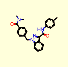 Cc1ccc(NC(=O)c2nn(Cc3ccc(C(=O)N(C)C)cc3)c3ccccc23)cc1